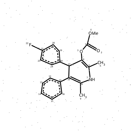 COC(=O)OC1=C(C)NC(C)=C(c2ccccc2)C1c1ccc(F)cc1